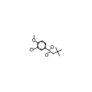 COc1ccc(S(=O)(=O)CC(C)(C)C)cc1Cl